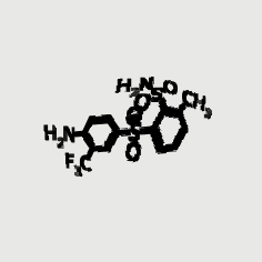 Cc1cccc(S(=O)(=O)c2ccc(N)c(C(F)(F)F)c2)c1S(N)(=O)=O